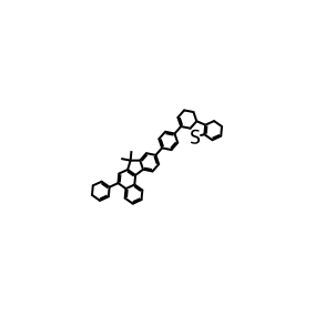 CC1(C)c2cc(-c3ccc(C4=CCCC5C6=C(C=CCC6)SC45)cc3)ccc2-c2c1cc(C1=CCCC=C1)c1ccccc21